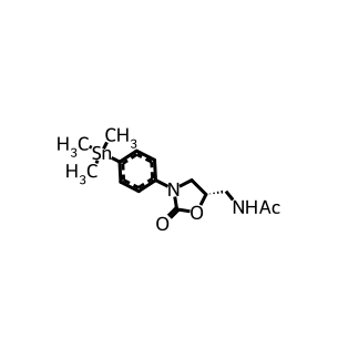 CC(=O)NC[C@H]1CN(c2cc[c]([Sn]([CH3])([CH3])[CH3])cc2)C(=O)O1